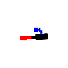 C#CO.N